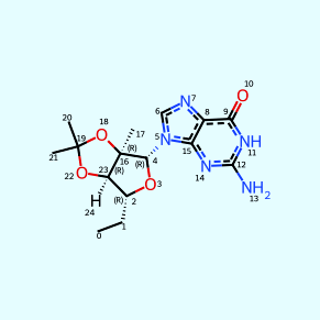 CC[C@H]1O[C@@H](n2cnc3c(=O)[nH]c(N)nc32)[C@]2(C)OC(C)(C)O[C@H]12